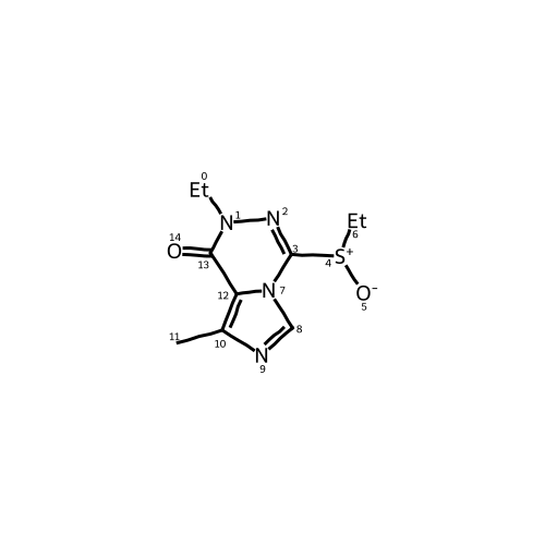 CCn1nc([S+]([O-])CC)n2cnc(C)c2c1=O